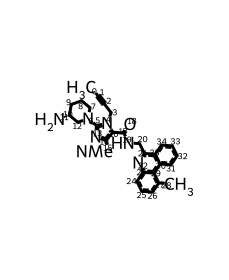 CC#CCn1c(N2CCC[C@@H](N)C2)nc(NC)c1C(=O)NCc1nc2cccc(C)c2c2ccccc12